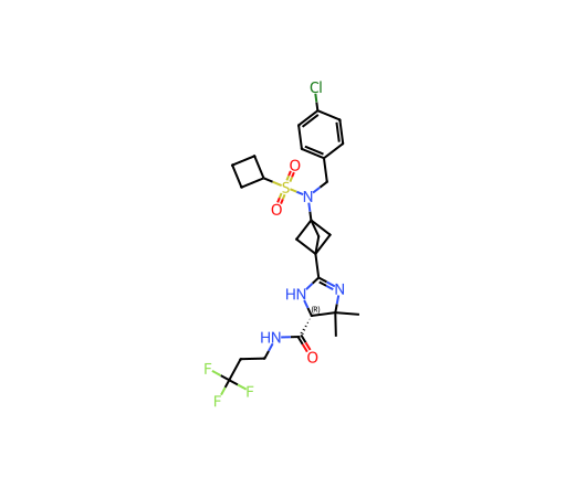 CC1(C)N=C(C23CC(N(Cc4ccc(Cl)cc4)S(=O)(=O)C4CCC4)(C2)C3)N[C@H]1C(=O)NCCC(F)(F)F